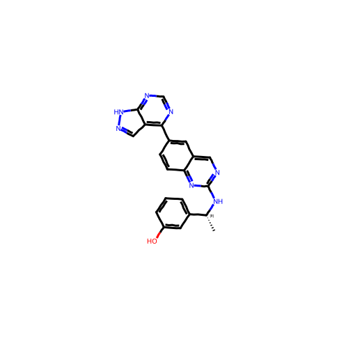 C[C@@H](Nc1ncc2cc(-c3ncnc4[nH]ncc34)ccc2n1)c1cccc(O)c1